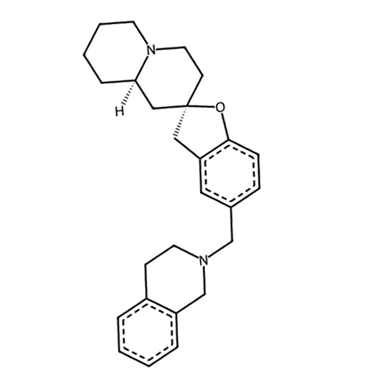 c1ccc2c(c1)CCN(Cc1ccc3c(c1)C[C@]1(CCN4CCCC[C@@H]4C1)O3)C2